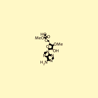 COC1[C@@H](COP(=O)(O)OC)O[C@@H](n2cnc3c(N)ncnc32)[C@H]1O